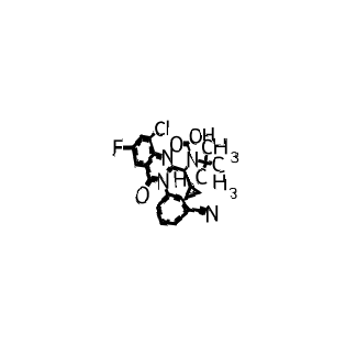 CC(C)(C)N(C(=O)O)[C@H](c1nc2c(Cl)cc(F)cc2c(=O)n1-c1cccc(C#N)c1)C1CC1